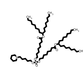 CCCCCCCCC(CCCCCCCC)OC(=O)CCCCCCCOP(=O)(OCCCCCCCC(=O)OC(CCCCCCCC)CCCCCCCC)OCCCCCN1CCCCC1